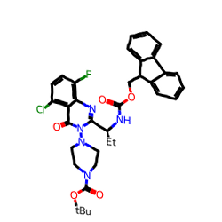 CC[C@H](NC(=O)OCC1c2ccccc2-c2ccccc21)c1nc2c(F)ccc(Cl)c2c(=O)n1N1CCN(C(=O)OC(C)(C)C)CC1